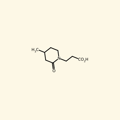 CC1CCN(CCC(=O)O)C(=O)C1